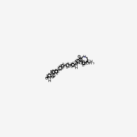 C[C@@]1(O)CC/C=C\Cn2c(=O)c3cnc(Nc4ccc(N5CCN(C6CCC7(CCN(c8ccc9c(=O)n(C%10CCC(=O)NC%10=O)ncc9c8)CC7)C6)CC5)cc4)nc3n2-c2cccc1n2